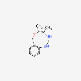 C/C1=C(\C)OCc2ccccc2NCN1